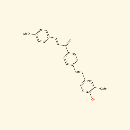 COc1ccc(/C=C/C(=O)c2ccc(/C=C/c3ccc(O)c(OC)c3)cc2)cc1